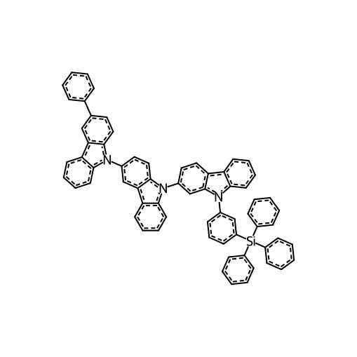 c1ccc(-c2ccc3c(c2)c2ccccc2n3-c2ccc3c(c2)c2ccccc2n3-c2ccc3c4ccccc4n(-c4cccc([Si](c5ccccc5)(c5ccccc5)c5ccccc5)c4)c3c2)cc1